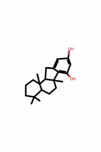 CC1(C)CCCC2(C)C1CCC1(C)c3c(O)cc(O)cc3CC12